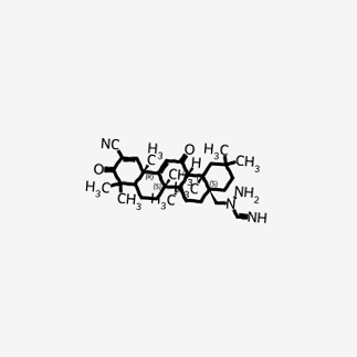 CC1(C)CC[C@]2(CN(N)C=N)CC[C@]3(C)[C@H](C(=O)C=C4[C@@]5(C)C=C(C#N)C(=O)C(C)(C)C5CC[C@]43C)[C@]2(C)C1